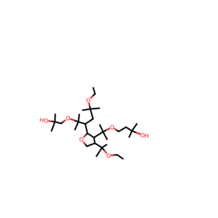 CCOC(C)(C)CC(C1OCC(C(C)(C)OCC)C1C(C)(C)OCCC(C)(C)O)C(C)(C)OCC(C)(C)O